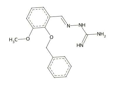 COc1cccc(C=NNC(=N)N)c1OCc1ccccc1